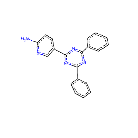 Nc1ccc(-c2nc(-c3ccccc3)nc(-c3ccccc3)n2)cn1